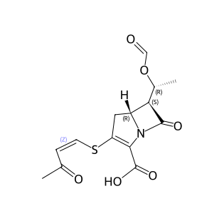 CC(=O)/C=C\SC1=C(C(=O)O)N2C(=O)[C@H]([C@@H](C)OC=O)[C@H]2C1